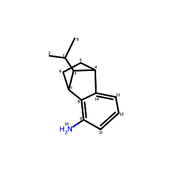 CC(C)C1C2CCC1c1c(N)cccc12